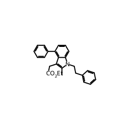 CCOC(=O)Cc1c(C)n(CCc2ccccc2)c2cccc(-c3ccccc3)c12